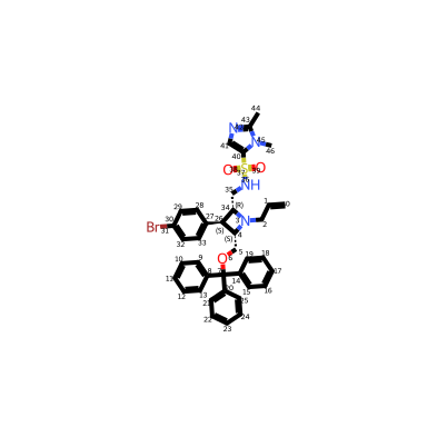 C=CCN1[C@H](COC(c2ccccc2)(c2ccccc2)c2ccccc2)[C@@H](c2ccc(Br)cc2)[C@@H]1CNS(=O)(=O)c1cnc(C)n1C